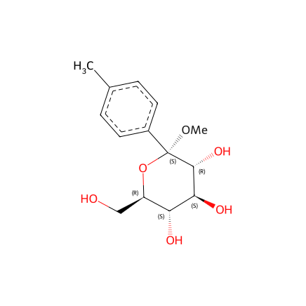 CO[C@@]1(c2ccc(C)cc2)O[C@H](CO)[C@@H](O)[C@H](O)[C@H]1O